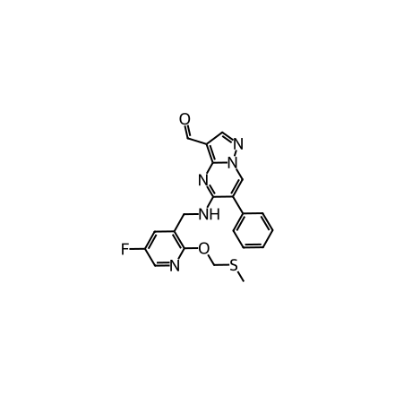 CSCOc1ncc(F)cc1CNc1nc2c(C=O)cnn2cc1-c1ccccc1